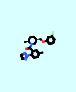 Cc1ccc(-n2nccn2)c(C(=O)N2C[C@@H](COc3cccc(F)c3)CC[C@@H]2C)c1